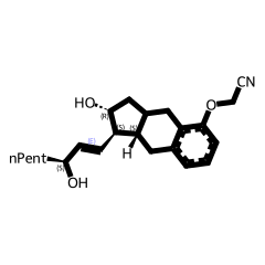 CCCCC[C@H](O)/C=C/[C@H]1[C@H](O)CC2Cc3c(cccc3OCC#N)C[C@@H]21